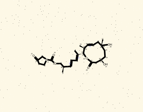 C/C(=C\C=C\[C@@H](C)COC(=O)N1CCC(=O)C1)[C@H]1OC(=O)C[C@H](O)CC[C@@](C)(O)C/C=C/[C@@H]1C